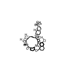 CO[C@@]1(CN2CCN3CCN(S(C)(=O)=O)C[C@@H]3C2)/C=C/C[C@H](C)[C@@H](C)S(=O)(=O)NC(=O)c2ccc3c(c2)N(C[C@@H]2CC[C@H]21)C[C@@]1(CCCc2cc(Cl)ccc21)CO3